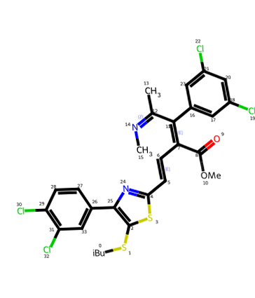 CCC(C)Sc1sc(/C=C/C(C(=O)OC)=C(\C(C)=N/C)c2cc(Cl)cc(Cl)c2)nc1-c1ccc(Cl)c(Cl)c1